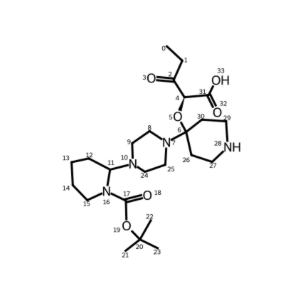 CCC(=O)[C@H](OC1(N2CCN(C3CCCCN3C(=O)OC(C)(C)C)CC2)CCNCC1)C(=O)O